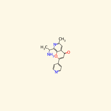 Cc1cc2c(=O)cc(-c3ccncc3)oc2c(C(C)N)n1